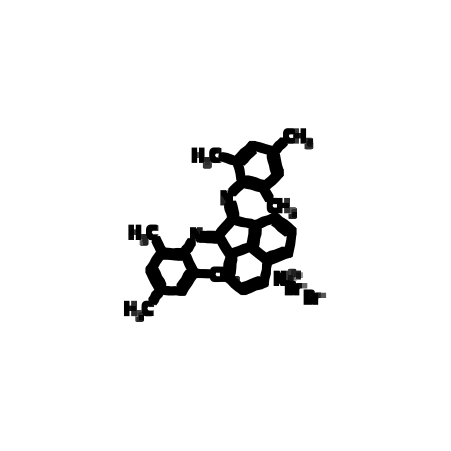 Cc1cc(C)c(N=C2C(=Nc3c(C)cc(C)cc3C)c3cccc4cccc2c34)c(C)c1.[Br-].[Br-].[Ni+2]